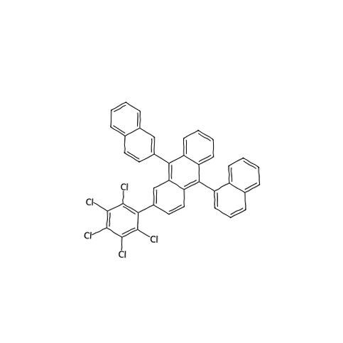 Clc1c(Cl)c(Cl)c(-c2ccc3c(-c4cccc5ccccc45)c4ccccc4c(-c4ccc5ccccc5c4)c3c2)c(Cl)c1Cl